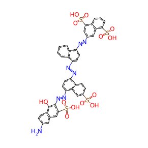 Nc1ccc2c(O)c(N=Nc3ccc(N=Nc4ccc(N=Nc5cc(S(=O)(=O)O)c6cccc(S(=O)(=O)O)c6c5)c5ccccc45)c4ccc(S(=O)(=O)O)cc34)c(S(=O)(=O)O)cc2c1